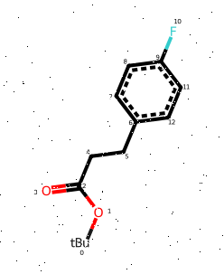 CC(C)(C)OC(=O)CCc1ccc(F)cc1